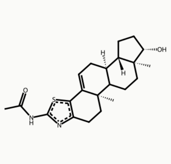 CC(=O)Nc1nc2c(s1)C1=CC[C@@H]3C(CC[C@]4(C)[C@@H](O)CC[C@@H]34)[C@@]1(C)CC2